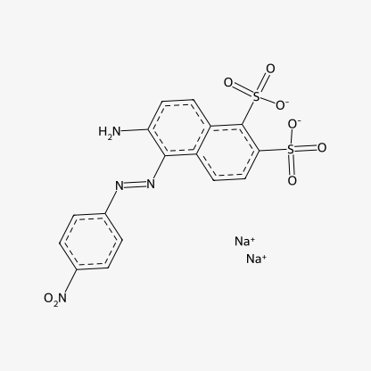 Nc1ccc2c(S(=O)(=O)[O-])c(S(=O)(=O)[O-])ccc2c1N=Nc1ccc([N+](=O)[O-])cc1.[Na+].[Na+]